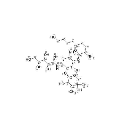 C[C@@H]1C(O)[C@@H](OC2C(O)C(O[C@H]3O[C@H](CCCCO)CCC3N)[C@@H](N)C[C@H]2NC(=N)C(O)C(O)C(O)CO)OCC1(C)O